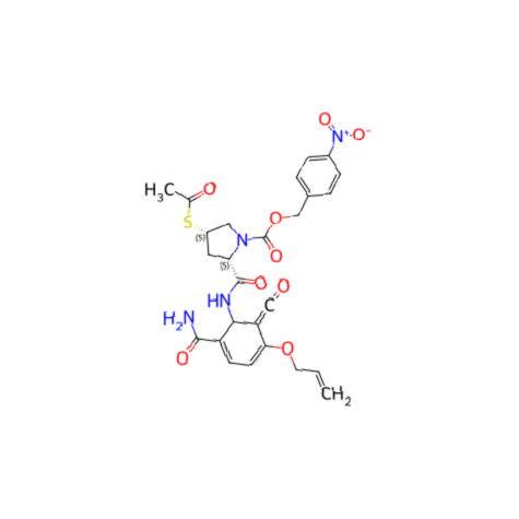 C=CCOC1=CC=C(C(N)=O)C(NC(=O)[C@@H]2C[C@H](SC(C)=O)CN2C(=O)OCc2ccc([N+](=O)[O-])cc2)C1=C=O